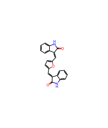 O=C1Nc2ccccc2/C1=C\c1ccc(/C=C2/C(=O)Nc3ccccc32)o1